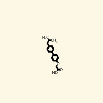 CC(C)Cc1ccc(-c2ccc(OCC(=O)O)cc2)cc1